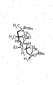 CC[O][Zr]([NH]C(C)(C)C[Si](C)(C)OC(C)(C)C)([NH]C(C)(C)C[Si](C)(C)OC(C)(C)C)[O]CC